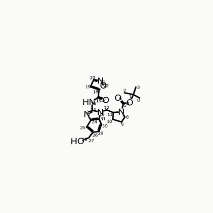 CC(C)(C)OC(=O)N1CCCC1Cn1c(NC(=O)c2ccno2)nc2cc(CO)ccc21